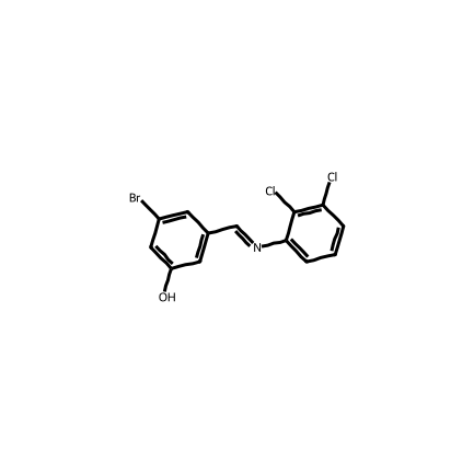 Oc1cc(Br)cc(C=Nc2cccc(Cl)c2Cl)c1